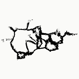 CC(C)[C@@H]1NC(=O)[C@@H](C)Cc2ccc3c(c2)C2(c4ccccc4N[C@H]2O3)c2oc1nc2-c1nc(CO)co1